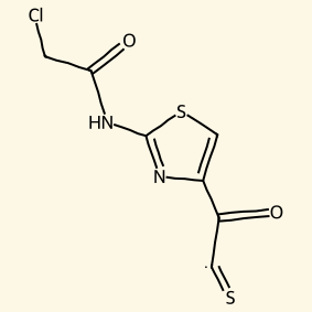 O=C(CCl)Nc1nc(C(=O)[C]=S)cs1